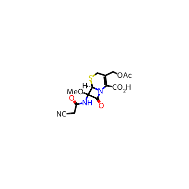 COC1(NC(=O)CC#N)C(=O)N2C(C(=O)O)=C(COC(C)=O)CS[C@@H]21